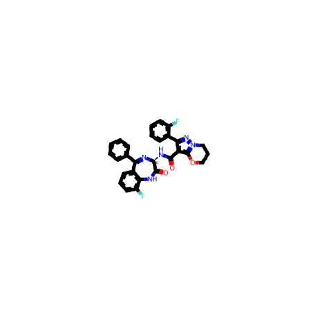 O=C(N[C@H]1N=C(c2ccccc2)c2cccc(F)c2NC1=O)c1c(-c2ccccc2F)nn2c1OCCC2